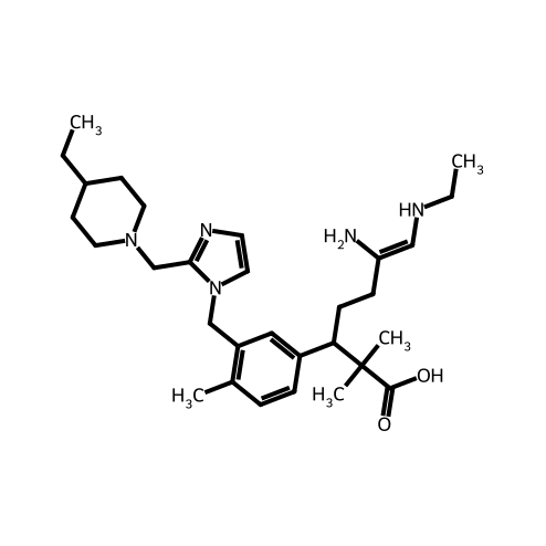 CCN/C=C(\N)CCC(c1ccc(C)c(Cn2ccnc2CN2CCC(CC)CC2)c1)C(C)(C)C(=O)O